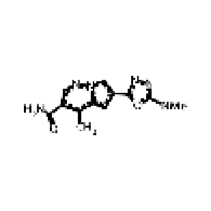 CNc1nnc(-c2cc3c(C)c(C(N)=O)cnn3c2)o1